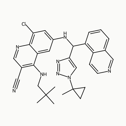 CC(C)(C)CNc1c(C#N)cnc2c(Cl)cc(NC(c3cn(C4(C)CC4)nn3)c3cccc4cnccc34)cc12